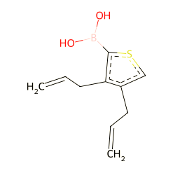 C=CCc1csc(B(O)O)c1CC=C